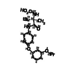 CC(C)Oc1cccc(Oc2ccc(NC(=O)[C@](C)(NC(=O)O)C(C)(C)C)cn2)c1